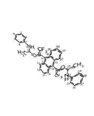 CC(Nc1ccccc1)OB(c1c2ccccc2c(B(OC(C)Nc2ccccc2)C(F)(F)F)c2ccccc12)C(F)(F)F